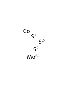 [Co].[Mo+6].[S-2].[S-2].[S-2]